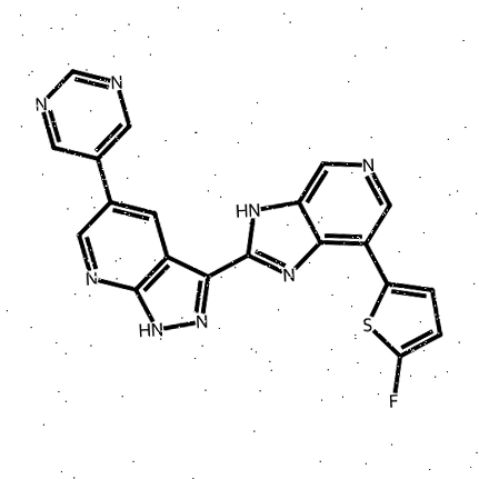 Fc1ccc(-c2cncc3[nH]c(-c4n[nH]c5ncc(-c6cncnc6)cc45)nc23)s1